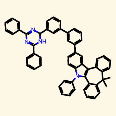 CC1(C)c2ccccc2-c2c(n(-c3ccccc3)c3ccc(-c4cccc(-c5cccc(C6N=C(c7ccccc7)N=C(c7ccccc7)N6)c5)c4)cc23)-c2ccccc21